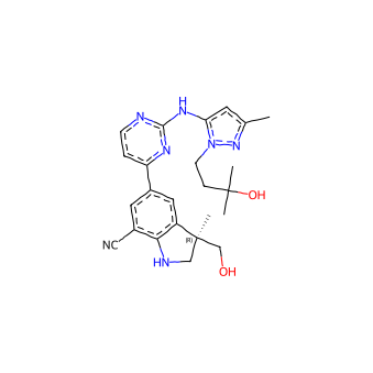 Cc1cc(Nc2nccc(-c3cc(C#N)c4c(c3)[C@@](C)(CO)CN4)n2)n(CCC(C)(C)O)n1